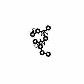 Cc1c(-c2cccc(-c3nc(-c4ccccc4)cc(-c4ccc5oc6ccccc6c5c4)n3)c2)nc2cc(-c3cccc(-c4ccccc4)c3)ccc2c1-c1ccccc1O